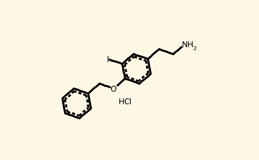 Cl.NCCc1ccc(OCc2ccccc2)c(I)c1